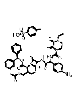 CCN1CCN(C(=O)N[C@@H](C(=O)N[C@@H]2C(=O)N3C(C(=O)OC(c4ccccc4)c4ccccc4)=C(COC(C)=O)CS[C@H]23)c2ccc(N)cc2)C(=O)C1=O.Cc1ccc(S(=O)(=O)O)cc1